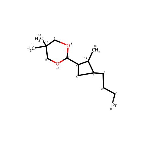 CC(C)CCCC1CC(C2OCC(C)(C)CO2)C1C